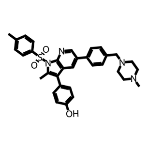 Cc1ccc(S(=O)(=O)n2c(C)c(-c3ccc(O)cc3)c3cc(-c4ccc(CN5CCN(C)CC5)cc4)cnc32)cc1